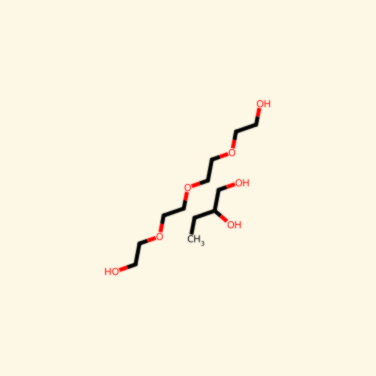 CCC(O)CO.OCCOCCOCCOCCO